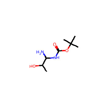 CC(O)C(N)NC(=O)OC(C)(C)C